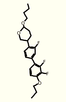 CCCCOC1CCC(c2ccc(-c3ccc(OCCC)c(F)c3F)cc2F)CO1